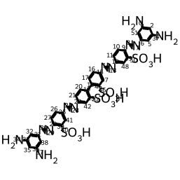 Nc1cc(N)cc(N=Nc2ccc(N=Nc3ccc(-c4ccc(N=Nc5ccc(N=Nc6cc(N)cc(N)c6)c(S(=O)(=O)O)c5)cc4S(=O)(=O)O)c(S(=O)(=O)O)c3)cc2S(=O)(=O)O)c1